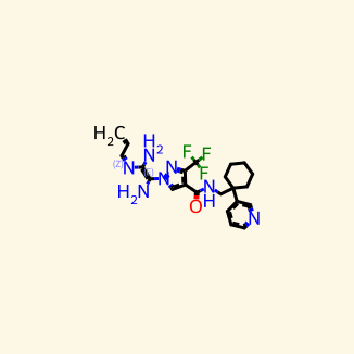 C=C/C=N\C(N)=C(/N)n1cc(C(=O)NCC2(c3cccnc3)CCCCC2)c(C(F)(F)F)n1